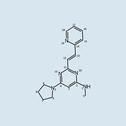 CNc1cc(N2CCCC2)nc(C=Cc2ccccn2)n1